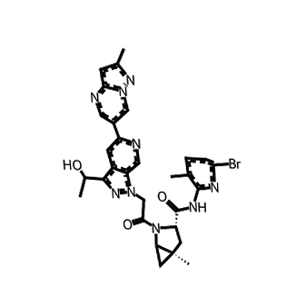 Cc1cc2ncc(-c3cc4c(C(C)O)nn(CC(=O)N5C6C[C@]6(C)C[C@H]5C(=O)Nc5nc(Br)ccc5C)c4cn3)cn2n1